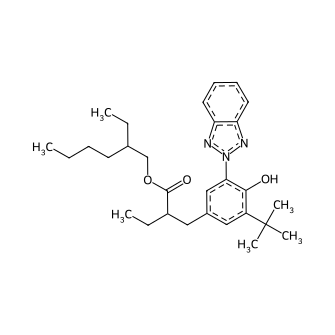 CCCCC(CC)COC(=O)C(CC)Cc1cc(-n2nc3ccccc3n2)c(O)c(C(C)(C)C)c1